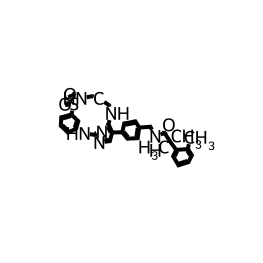 Cc1ccccc1C(C)(C)C(=O)NCc1ccc(-c2cnc3nc2NCCCNS(=O)(=O)c2cccc(c2)N3)cc1